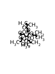 C=C(C)C(=O)OC[C@@H](OC(=O)C(=C)C)[C@@H](OC(=O)C(=C)C)[C@H](OC(=O)C(=C)C)[C@H](O)C=O